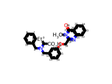 CCC(C(=O)O)N(Cc1ccccc1)Cc1cccc(OCc2nc3ccccc3c(=O)n2C)c1